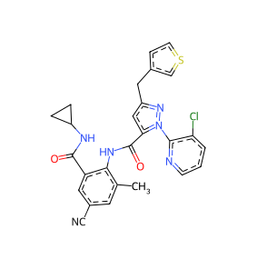 Cc1cc(C#N)cc(C(=O)NC2CC2)c1NC(=O)c1cc(Cc2ccsc2)nn1-c1ncccc1Cl